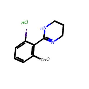 Cl.O=Cc1cccc(I)c1C1=NCCCN1